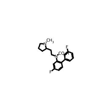 CN1CCCC1CCN(C(=O)O)c1cc(F)ccc1-c1cccc(F)c1